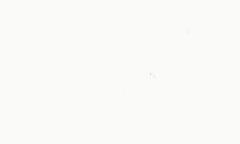 C=CC(=O)O.CCCCCCCCCCCCCCCCCC(=O)[O-].[Na+]